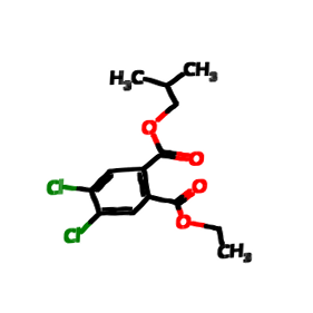 CCOC(=O)c1cc(Cl)c(Cl)cc1C(=O)OCC(C)C